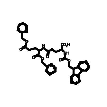 O=C(CCC(NC(=O)OCC1c2ccccc2-c2ccccc21)C(=O)O)NC(CCC(=O)OCc1ccccc1)C(=O)OCc1ccccc1